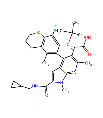 Cc1nc2c(cc(C(=O)NCC3CC3)n2C)c(-c2cc(F)c3c(c2C)CCCO3)c1[C@H](OC(C)(C)C)C(=O)O